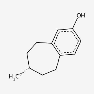 C[C@H]1CCc2ccc(O)cc2CC1